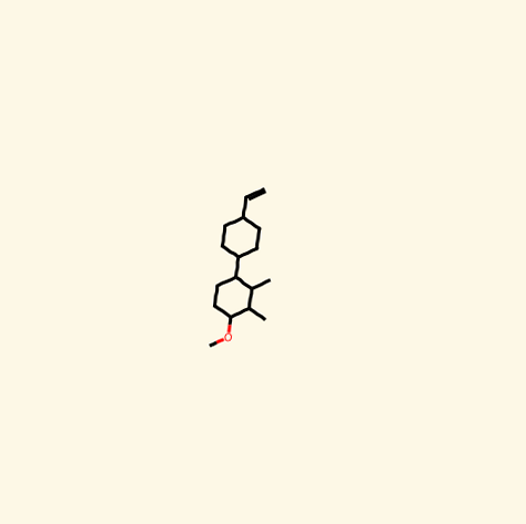 C=CC1CCC(C2CCC(OC)C(C)C2C)CC1